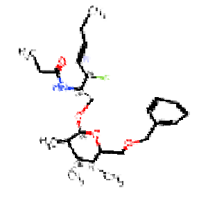 CC/C=C/[C@@H](F)[C@H](CO[C@H]1OC(COCc2ccccc2)[C@H](C)[C@H](C)C1C)NC(=O)CC